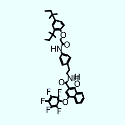 CCC(C)(C)c1ccc(OCC(=O)Nc2ccc(CCNC(=O)c3cc(Oc4c(F)c(F)c(F)c(F)c4F)c4ccccc4c3O)cc2)c(C(C)(C)CC)c1